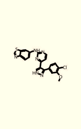 COc1cc(-c2n[nH]cc2-c2ccnc(Nc3ccc4ncsc4c3)n2)ccc1Cl